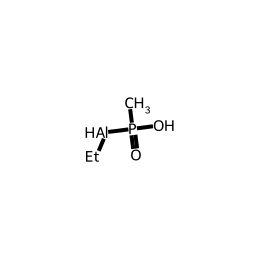 C[CH2][AlH][P](C)(=O)O